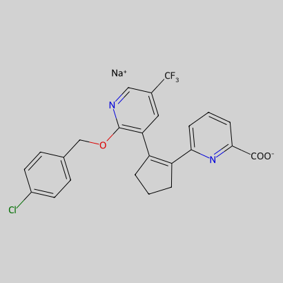 O=C([O-])c1cccc(C2=C(c3cc(C(F)(F)F)cnc3OCc3ccc(Cl)cc3)CCC2)n1.[Na+]